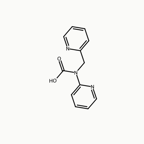 O=C(O)N(Cc1ccccn1)c1ccccn1